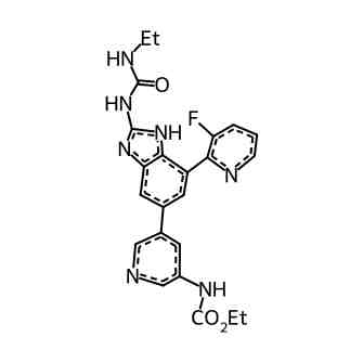 CCNC(=O)Nc1nc2cc(-c3cncc(NC(=O)OCC)c3)cc(-c3ncccc3F)c2[nH]1